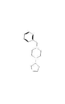 c1ccc(CN2CCN([C@H]3CCNC3)CC2)cc1